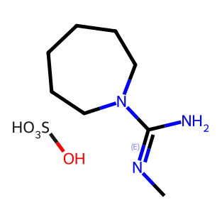 C/N=C(\N)N1CCCCCC1.O=S(=O)(O)O